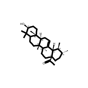 CC(=O)[C@]12CC[C@@H](C)[C@H](C)[C@H]1C1=CC[C@@H]3[C@@]4(C)CC[C@H](O)C(C)(C)C4CC[C@@]3(C)[C@]1(C)CC2